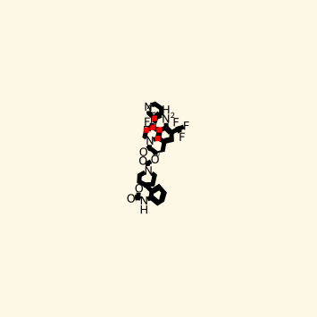 Nc1c(C(F)(F)F)cc(C[C@@H](OC(=O)N2CCC3(CC2)OC(=O)Nc2ccccc23)C(=O)N2CCN(C3CN4CCC3CC4)CC2)cc1C(F)(F)F